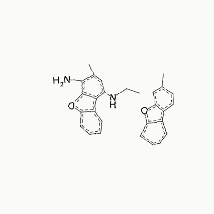 CCNc1cc(C)c(N)c2oc3ccccc3c12.Cc1ccc2c(c1)oc1ccccc12